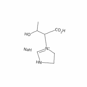 CC(O)C(C(=O)O)[N+]1=CNCC1.[NaH]